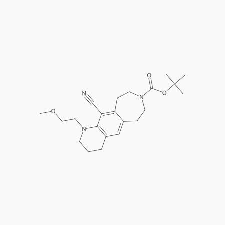 COCCN1CCCc2cc3c(c(C#N)c21)CCN(C(=O)OC(C)(C)C)CC3